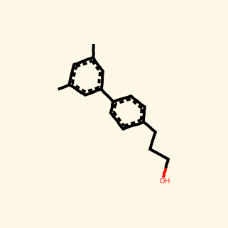 Cc1cc(C)cc(-c2ccc(CCCO)cc2)c1